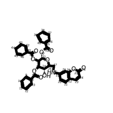 O=C(OC1C(OC(=O)c2ccccc2)[C@@H](O)C(CNc2ccc3ccc(=O)oc3c2)O[C@H]1OC(=O)c1ccccc1)c1ccccc1